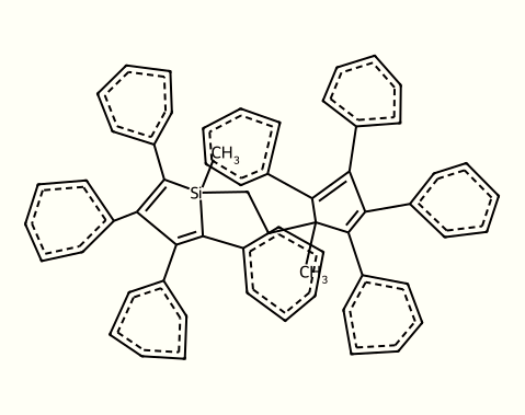 CC1(CC[Si]2(C)C(c3ccccc3)=C(c3ccccc3)C(c3ccccc3)=C2c2ccccc2)C(c2ccccc2)=C(c2ccccc2)C(c2ccccc2)=C1c1ccccc1